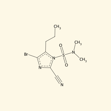 CCCc1c(Br)nc(C#N)n1S(=O)(=O)N(C)C